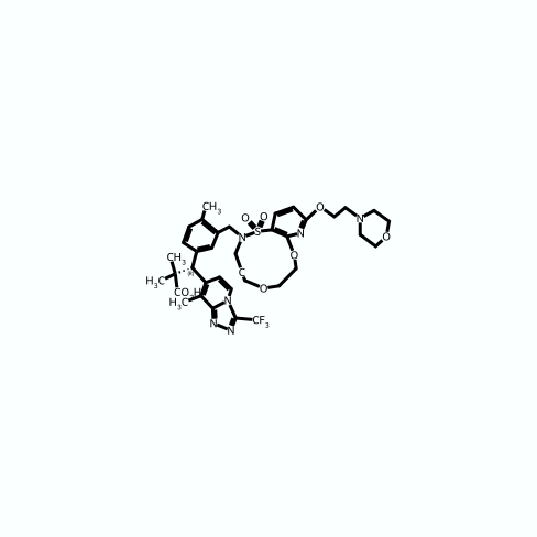 Cc1ccc([C@H](c2ccn3c(C(F)(F)F)nnc3c2C)C(C)(C)C(=O)O)cc1CN1CCCOCCOc2nc(OCCN3CCOCC3)ccc2S1(=O)=O